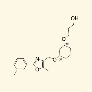 Cc1cccc(-c2nc(CO[C@H]3CCC[C@@H](OCCCO)C3)c(C)o2)c1